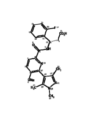 COc1ccc(C(=O)N[C@@H](CC(=O)O)c2ccccc2F)nc1-c1c(C)nn(C)c1C